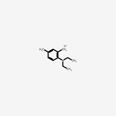 CCN(CC)c1ccc(C)cc1C.[Li+]